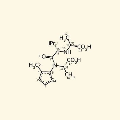 Cc1ccsc1N(C(=O)[C@@H](N[C@@H](C)C(=O)O)C(C)C)[C@@H](C)C(=O)O